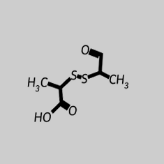 CC(C=O)SSC(C)C(=O)O